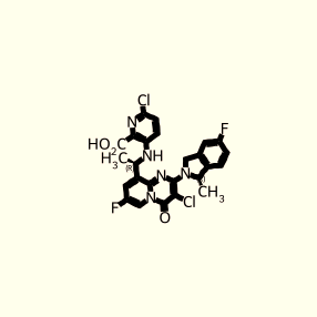 C[C@@H]1c2ccc(F)cc2CN1c1nc2c([C@@H](C)Nc3ccc(Cl)nc3C(=O)O)cc(F)cn2c(=O)c1Cl